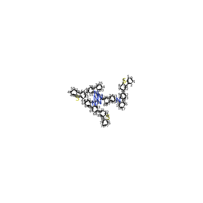 c1ccc2c(c1)sc1ccc(-c3ccc4c5ccccc5n(-c5ccc6cc(-c7nc(-n8c9ccccc9c9ccc(-c%10ccc%11sc%12ccccc%12c%11c%10)cc98)nc(-n8c9ccccc9c9ccc(-c%10ccc%11sc%12ccccc%12c%11c%10)cc98)n7)ccc6c5)c4c3)cc12